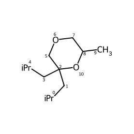 CC(C)CC1(CC(C)C)COCC(C)O1